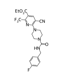 CCOC(=O)c1cc(C#N)c(N2CCN(C(=O)NCc3ccc(F)cc3)CC2)nc1C(F)(F)F